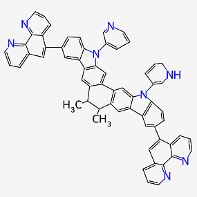 CC1c2cc3c4cc(-c5cc6cccnc6c6ncccc56)ccc4n(C4=CNCC=C4)c3cc2-c2cc3c(cc2C1C)c1cc(-c2cc4cccnc4c4ncccc24)ccc1n3-c1cccnc1